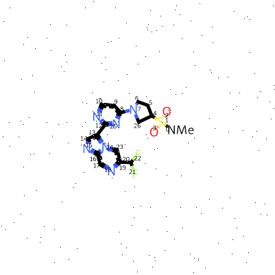 CNS(=O)(=O)C1CCN(c2ccnc(-c3cnc4cnc(C(F)F)cn34)n2)C1